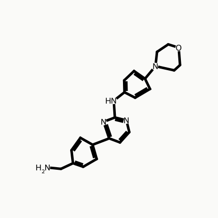 NCc1ccc(-c2ccnc(Nc3ccc(N4CCOCC4)cc3)n2)cc1